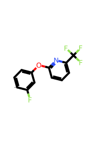 Fc1[c]ccc(Oc2cccc(C(F)(F)F)n2)c1